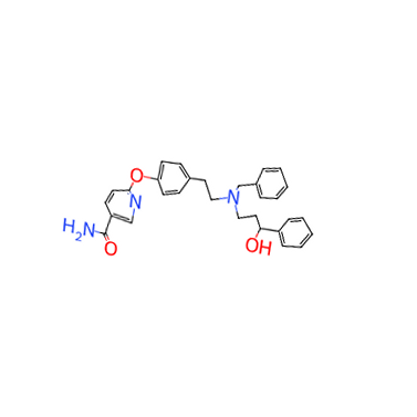 NC(=O)c1ccc(Oc2ccc(CCN(CCC(O)c3ccccc3)Cc3ccccc3)cc2)nc1